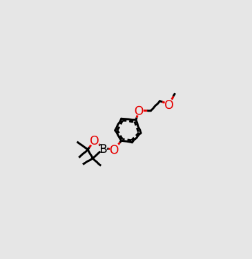 COCCOc1ccc(OB2OC(C)(C)C2(C)C)cc1